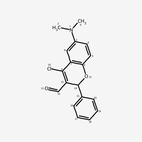 CN(C)c1ccc2c(c1)C(Cl)=C(C=O)C(c1ccccc1)O2